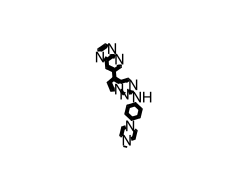 CN1CCN([C@H]2CC[C@@H](Nc3ncc4c(-c5cnc6nccnc6c5)ccn4n3)CC2)CC1